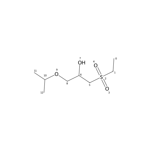 CCS(=O)(=O)CC(O)COC(C)C